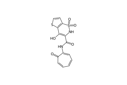 O=C(Nc1cccccc1=O)C1=C(O)c2sccc2S(=O)(=O)N1